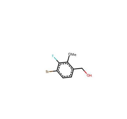 COc1c(CO)ccc(Br)c1F